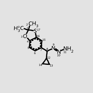 CC1(C)Oc2ccc(C(N=NN)C3CC3)cc2S1